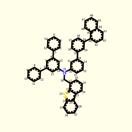 c1ccc(-c2cc(-c3ccccc3)cc(N(Cc3cccc4c3sc3ccccc34)c3cccc(-c4cccc(-c5cccc6ccccc56)c4)c3)c2)cc1